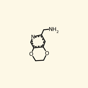 NCc1cc2c(cn1)OCCO2